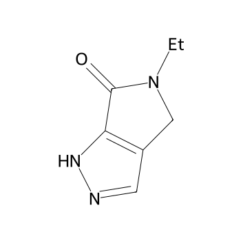 CCN1Cc2cn[nH]c2C1=O